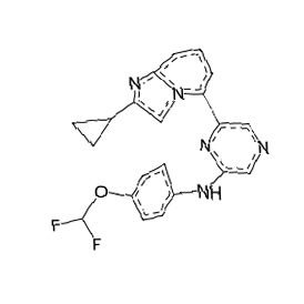 FC(F)Oc1ccc(Nc2cncc(-c3cccc4nc(C5CC5)cn34)n2)cc1